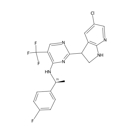 C[C@H](Nc1nc(C2CNc3ncc(Cl)cc32)ncc1C(F)(F)F)c1ccc(F)cc1